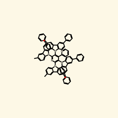 Cc1ccc2c(c1)c1cc(C)ccc1n2-c1nc(-n2c3ccc(C)cc3c3cc(C)ccc32)c(-n2c3ccc(-c4ccccc4)cc3c3cc(-c4ccccc4)ccc32)c(-c2ccccn2)c1-n1c2ccc(-c3ccccc3)cc2c2cc(-c3ccccc3)ccc21